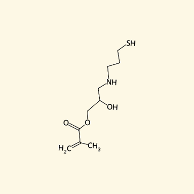 C=C(C)C(=O)OCC(O)CNCCCS